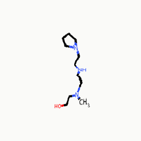 CN(CCO)CCNCCN1CCCC1